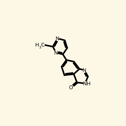 Cc1nccc(-c2ccc3c(=O)[nH]cnc3c2)n1